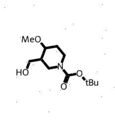 COC1CCN(C(=O)OC(C)(C)C)CC1CO